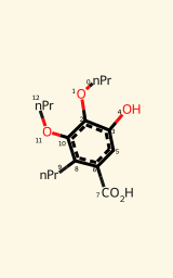 CCCOc1c(O)cc(C(=O)O)c(CCC)c1OCCC